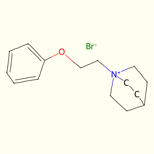 [Br-].c1ccc(OCC[N+]23CCC(CC2)CC3)cc1